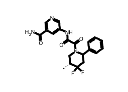 C[C@@H]1CN(C(=O)C(=O)Nc2cncc(C(N)=O)c2)C(c2ccccc2)CC1(F)F